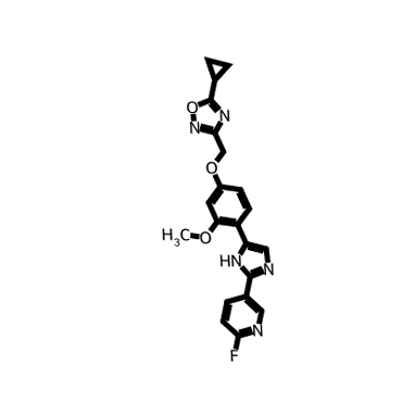 COc1cc(OCc2noc(C3CC3)n2)ccc1-c1cnc(-c2ccc(F)nc2)[nH]1